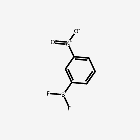 O=[N+]([O-])c1cccc(B(F)F)c1